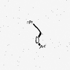 CCC[CH]OC(C)=O